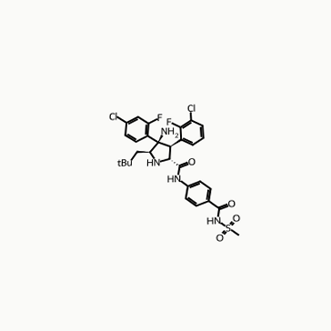 CC(C)(C)C[C@@H]1N[C@@H](C(=O)Nc2ccc(C(=O)NS(C)(=O)=O)cc2)[C@H](c2cccc(Cl)c2F)[C@@]1(N)c1ccc(Cl)cc1F